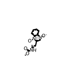 COC(=O)NN=Cc1c[n+]([O-])c2ccccc2[n+]1[O-]